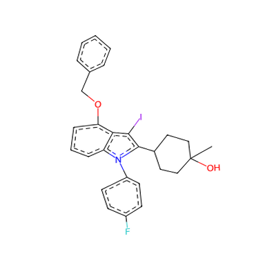 CC1(O)CCC(c2c(I)c3c(OCc4ccccc4)cccc3n2-c2ccc(F)cc2)CC1